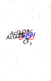 CC(=O)OC[C@H]1O[C@@H](n2cc(C(F)(F)F)c(=O)[nH]c2=O)[C@H](OC(C)=O)[C@@H]1OC(C)=O